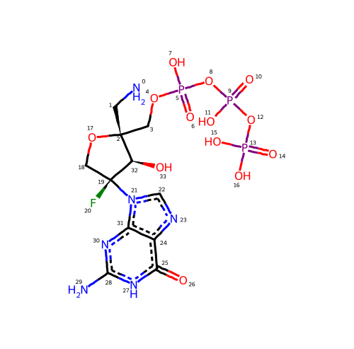 NC[C@]1(COP(=O)(O)OP(=O)(O)OP(=O)(O)O)OC[C@@](F)(n2cnc3c(=O)[nH]c(N)nc32)[C@@H]1O